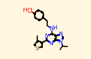 Cc1cscc1-c1nc(NCCc2ccc(O)cc2)c2ncn(C(C)C)c2n1